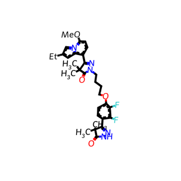 CCc1cc2c(C3=NN(CCCCOc4ccc(C5=NNC(=O)C5(C)C)c(F)c4F)C(=O)C3(C)C)ccc(OC)n2c1